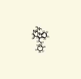 Cc1cnc(N(C)C)n2c1c(CCN1CCCCC1)c1ccccc12